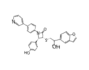 O=C1[C@H](SCC(O)c2ccc3occc3c2)[C@@H](c2ccc(O)cc2)N1c1ccc(-c2cccnc2)cc1